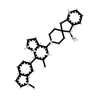 Cc1nc(N2CCC3(CC2)Cc2ncccc2[C@H]3N)c2ccnn2c1-c1ccc2ccn(C)c2c1